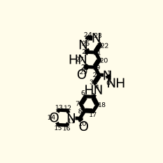 N=N/C(=C\Nc1ccc(C(=O)N2CCOCC2)cc1)c1cc2cncnc2[nH]c1=O